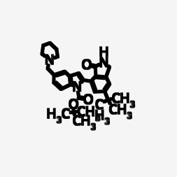 CC(C)(C)OC(=O)n1c(-c2cc(C(C)(C)C)cc3c2C(=O)NC3)cc2cc(CN3CCCCC3)ccc21